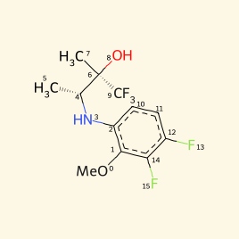 COc1c(N[C@H](C)[C@@](C)(O)C(F)(F)F)ccc(F)c1F